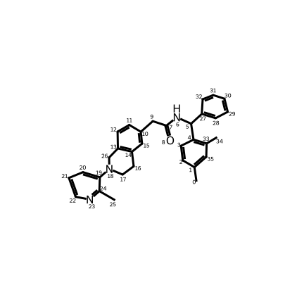 Cc1ccc(C(NC(=O)Cc2ccc3c(c2)CCN(c2cccnc2C)C3)c2ccccc2)c(C)c1